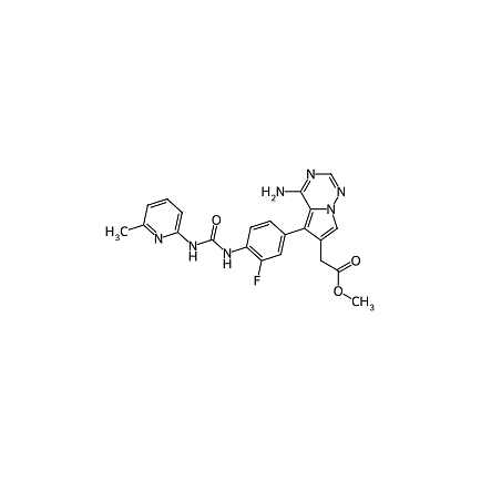 COC(=O)Cc1cn2ncnc(N)c2c1-c1ccc(NC(=O)Nc2cccc(C)n2)c(F)c1